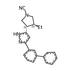 CC[C@@H]1CN(C#N)C[C@H]1c1cc(-c2cccc(-c3ccccc3)c2)n[nH]1